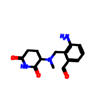 CN(Cc1c(N)cccc1C=O)C1CCC(=O)NC1=O